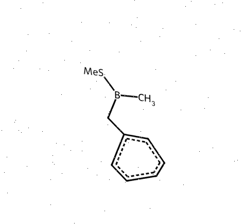 CSB(C)Cc1ccccc1